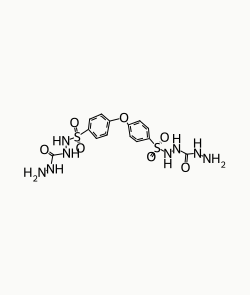 NNC(=O)NNS(=O)(=O)c1ccc(Oc2ccc(S(=O)(=O)NNC(=O)NN)cc2)cc1